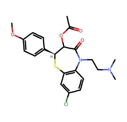 COc1ccc([C@@H]2Sc3cc(Cl)ccc3N(CCN(C)C)C(=O)C2OC(C)=O)cc1